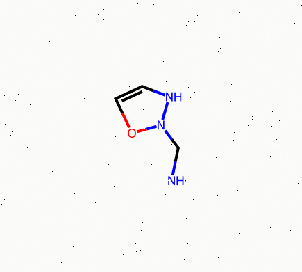 [NH]CN1NC=CO1